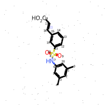 Cc1cc(C)cc(NS(=O)(=O)c2cccc(/C=C/C(=O)O)c2)c1